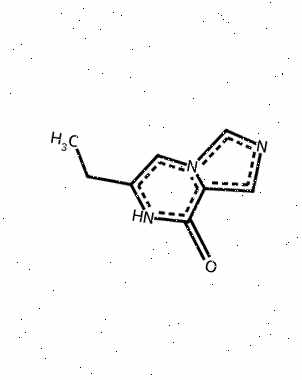 CCc1cn2cncc2c(=O)[nH]1